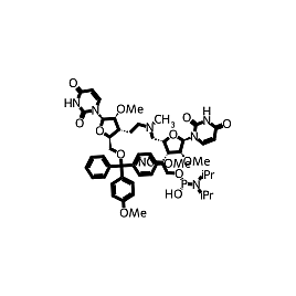 COc1ccc(C(OC[C@H]2O[C@@H](n3ccc(=O)[nH]c3=O)[C@H](OC)[C@@H]2CCN(C)C[C@@H]2O[C@@H](n3ccc(=O)[nH]c3=O)[C@H](OC)[C@@H]2C(C#N)COP(O)N(C(C)C)C(C)C)(c2ccccc2)c2ccc(OC)cc2)cc1